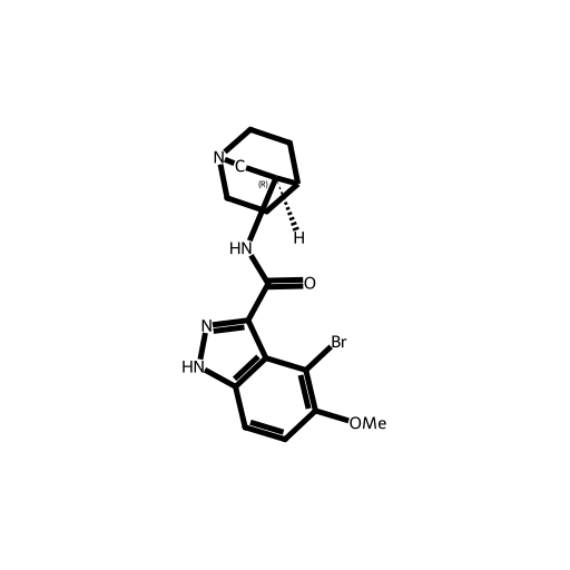 COc1ccc2[nH]nc(C(=O)N[C@H]3CN4CCC3CC4)c2c1Br